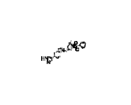 C[C@@H]1C[C@@H](Cn2ccc3cc(-c4cn[nH]c4)ccc32)CN1S(=O)(=O)c1ccccc1